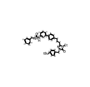 CCn1c(CCCc2ccc(-c3cccc(NC(=O)NCc4ccccc4)n3)cc2)nn(Cc2ccc(C(C)(C)C)cc2)c1=O